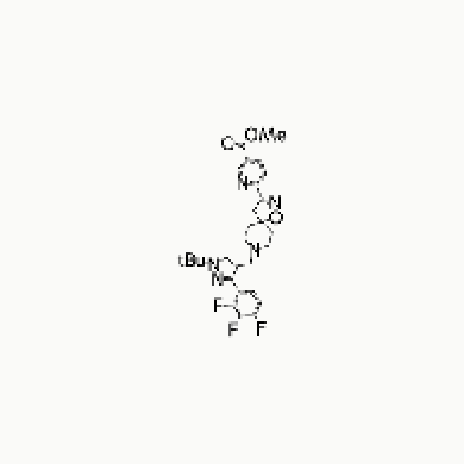 COC(=O)c1ccc(C2=NOC3(CCN(CC4CN(C(C)(C)C)N=C4c4ccc(F)c(F)c4F)CC3)C2)nc1